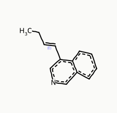 CC/C=C/c1cncc2ccccc12